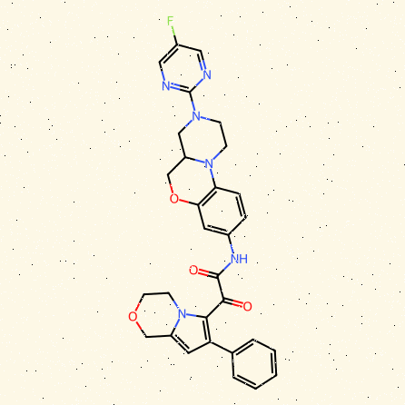 O=C(Nc1ccc2c(c1)OCC1CN(c3ncc(F)cn3)CCN21)C(=O)c1c(-c2ccccc2)cc2n1CCOC2